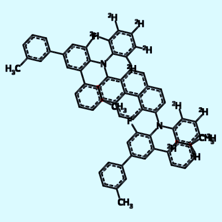 [2H]c1c([2H])c([2H])c(N(c2c(F)cc(-c3cccc(C)c3)cc2-c2cccc(C)c2)c2ccc3ccc4c(N(c5c(F)cc(-c6cccc(C)c6)cc5-c5cccc(C)c5)c5c([2H])c([2H])c([2H])c([2H])c5[2H])ccc5ccc2c3c54)c([2H])c1[2H]